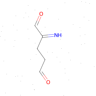 N=C(C=O)CCC=O